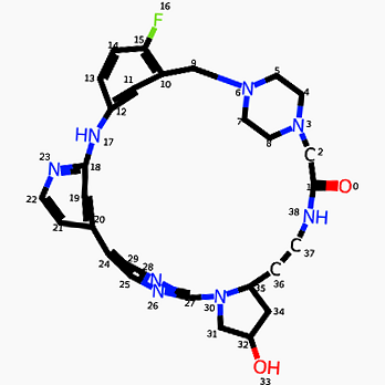 O=C1CN2CCN(CC2)Cc2cc(ccc2F)Nc2cc(ccn2)-c2cnc(nc2)N2CC(O)CC2CCN1